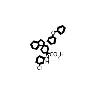 O=C(O)C1(Nc2cccc(Cl)c2)CCC2(CC1)c1ccccc1C[C@@H]2c1cccc(Oc2ccccc2)c1